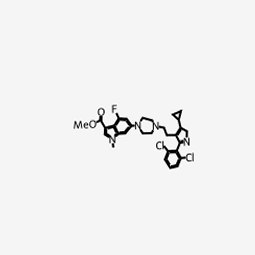 COC(=O)c1cn(C)c2cc(N3CCN(CCC4=C(C5CC5)CN=C4c4c(Cl)cccc4Cl)CC3)cc(F)c12